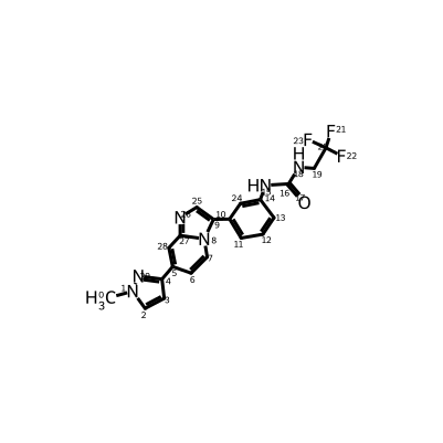 Cn1ccc(-c2ccn3c(-c4cccc(NC(=O)NCC(F)(F)F)c4)cnc3c2)n1